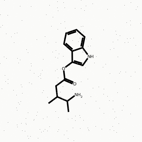 CC(N)C(C)CC(=O)Oc1c[nH]c2ccccc12